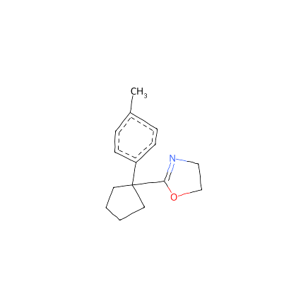 Cc1ccc(C2(C3=NCCO3)CCCC2)cc1